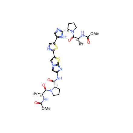 COC(=O)N[C@H](C(=O)N1CCC[C@H]1C(=O)Nc1cn2cc(-c3ncc(-c4cnc([C@@H]5CCCN5C(=O)[C@@H](NC(=O)OC)C(C)C)[nH]4)s3)sc2n1)C(C)C